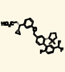 CC1(C)CCC[C@H]1c1cc(COc2cccc([C@@H](CC(=O)O)C3CC3)c2)ccc1-c1cc(C(F)F)ccc1F